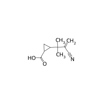 C=C(C#N)C(C)(C)C1CC1C(=O)O